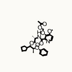 COc1ccnc(C(=O)N[C@@H](C)C(=O)OC(C2CCCC2)[C@H](C)Oc2ccccc2)c1OCOC(C)=O